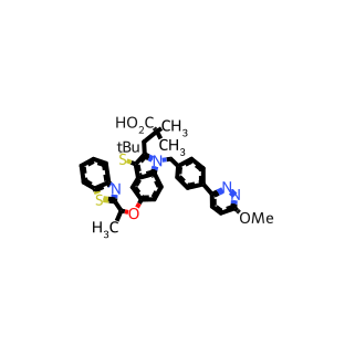 COc1ccc(-c2ccc(Cn3c(CC(C)(C)C(=O)O)c(SC(C)(C)C)c4cc(OC(C)c5nc6ccccc6s5)ccc43)cc2)nn1